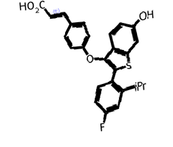 CC(C)c1cc(F)ccc1-c1sc2cc(O)ccc2c1Oc1ccc(/C=C/C(=O)O)cc1